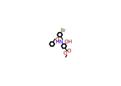 CCOC(=O)c1ccc(NCc2cc(Br)ccc2OCc2ccccc2)c(O)c1